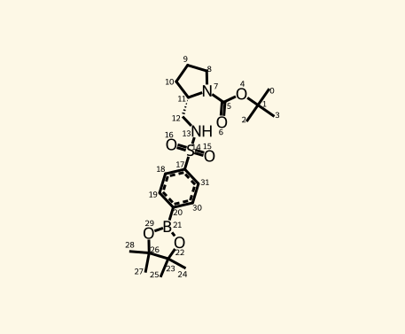 CC(C)(C)OC(=O)N1CCC[C@H]1CNS(=O)(=O)c1ccc(B2OC(C)(C)C(C)(C)O2)cc1